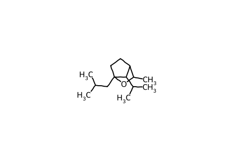 CC(C)CC12CCC(C(C)O1)C2C(C)C